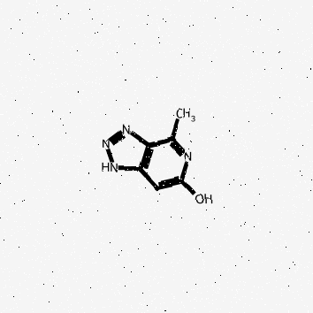 Cc1nc(O)cc2[nH]nnc12